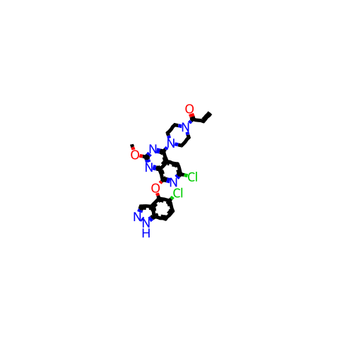 C=CC(=O)N1CCN(c2nc(OC)nc3c(Oc4c(Cl)ccc5[nH]ncc45)nc(Cl)cc23)CC1